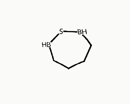 B1CCCCBS1